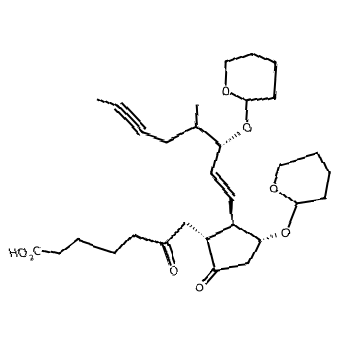 CC#CCC(C)[C@@H](C=C[C@H]1[C@H](OC2CCCCO2)CC(=O)[C@@H]1CC(=O)CCCCC(=O)O)OC1CCCCO1